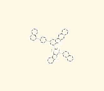 c1ccc2cc(-c3nc(-c4cc(-c5ccc(-c6cccc7ccccc67)cc5)cc5c4oc4cc6ccccc6cc45)nc4c3sc3ccccc34)ccc2c1